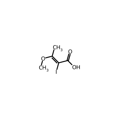 COC(C)=C(I)C(=O)O